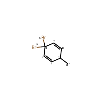 [CH2]C1C=CC(Br)(Br)C=C1